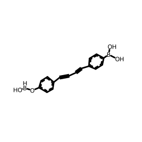 OBOc1ccc(C#CC#Cc2ccc(B(O)O)cc2)cc1